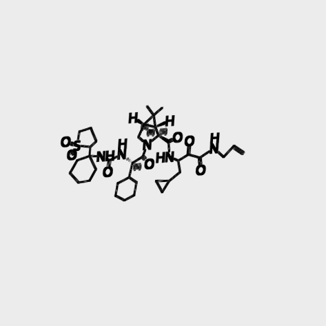 C=CCNC(=O)C(=O)C(CC1CC1)NC(=O)[C@@H]1[C@@H]2[C@H](CN1C(=O)[C@@H](NC(=O)NC1(C3CCCS3(=O)=O)CCCCC1)C1CCCCC1)C2(C)C